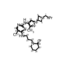 Cc1nn(C2CN(CC(C)C)C2)cc1Nc1ncc(Cl)c(NCCCN2CCCCC2=O)n1